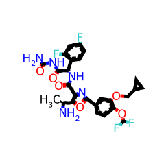 C[C@H](N)c1oc(-c2ccc(OC(F)F)c(OCC3CC3)c2)nc1C(=O)NC(C(=O)NC(N)=O)c1ccc(F)cc1F